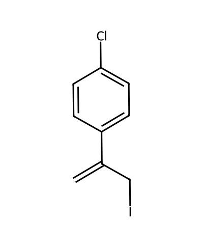 C=C(CI)c1ccc(Cl)cc1